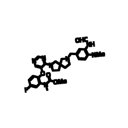 CNc1ccc(CN2CCC3(CCN(c4ncncc4Oc4ccc(F)cc4N(C)C(=O)OC)C3)C2)cc1NC=O